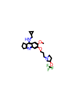 COc1cc2c(NCC3CC3)c3c(nc2cc1OCCCN1CCC(OC(F)(F)F)C1)CCC3